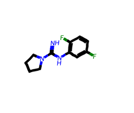 N=C(Nc1cc(F)ccc1F)N1CCCC1